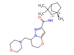 CC1(C)C2CC[C@@](C)(C2)[C@@H]1NC(=O)c1cc2n(n1)C(CN1CCOCC1)CCO2